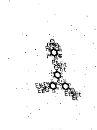 CC[Si](CC)(CC)Oc1ccc([S+](c2ccc(O[Si](CC)(CC)CC)cc2)c2ccc(O[Si](CC)(CC)CC)cc2)cc1.O=S(=O)([O-])c1c(F)c(F)c(F)c(F)c1F